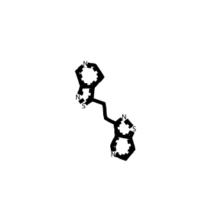 c1cc2c(CCc3nsc4ccncc34)snc2cn1